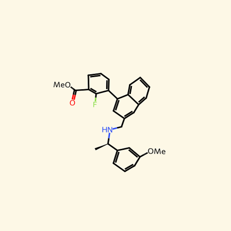 COC(=O)c1cccc(-c2cc(CN[C@H](C)c3cccc(OC)c3)cc3ccccc23)c1F